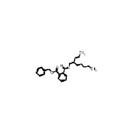 CCCCCC(CCC)COC(=O)c1ccccc1C(=O)OCc1ccccc1